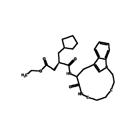 CCOC(=O)C[C@@H](CC1CCCC1)C(=O)NC1Cc2cn(c3ccccc23)CCCCCCNC1=O